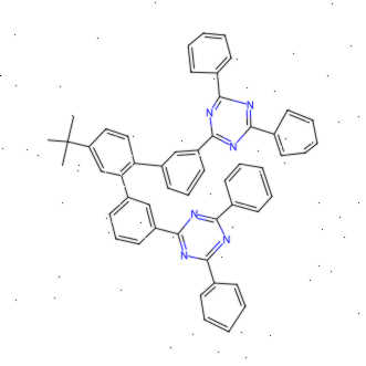 CC(C)(C)c1ccc(-c2cccc(-c3nc(-c4ccccc4)nc(-c4ccccc4)n3)c2)c(-c2cccc(-c3nc(-c4ccccc4)nc(-c4ccccc4)n3)c2)c1